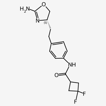 NC1=N[C@@H](CCc2ccc(NC(=O)C3CC(F)(F)C3)cc2)CO1